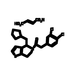 O=C(Cc1ccc(Cl)c(Cl)c1)N1CCc2sccc2C1CN1CCCC1.O=C(O)C=CC(=O)O